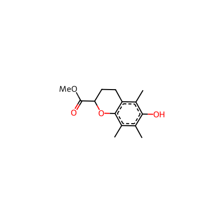 COC(=O)C1CCc2c(C)c(O)c(C)c(C)c2O1